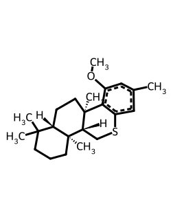 COc1cc(C)cc2c1[C@]1(C)CC[C@H]3C(C)(C)CCC[C@]3(C)[C@H]1CS2